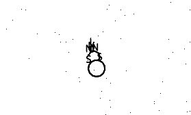 In1nc2c(n1)CSC1CCCCCCCCCCC(C1)SC2